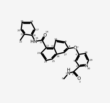 CNC(=O)c1cc(Oc2ccc3c(C(=O)Nc4ccccc4C)cccc3c2)ccn1